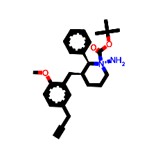 C#CCc1ccc(OC)c(C[C@@H]2CCC[N+](N)(C(=O)OC(C)(C)C)[C@@H]2c2ccccc2)c1